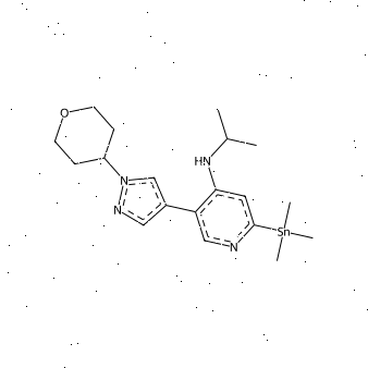 CC(C)Nc1c[c]([Sn]([CH3])([CH3])[CH3])ncc1-c1cnn(C2CCOCC2)c1